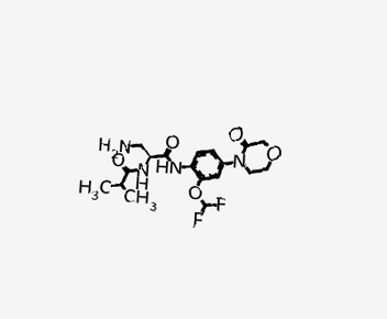 CC(C)C(=O)N[C@@H](CN)C(=O)Nc1ccc(N2CCOCC2=O)cc1OC(F)F